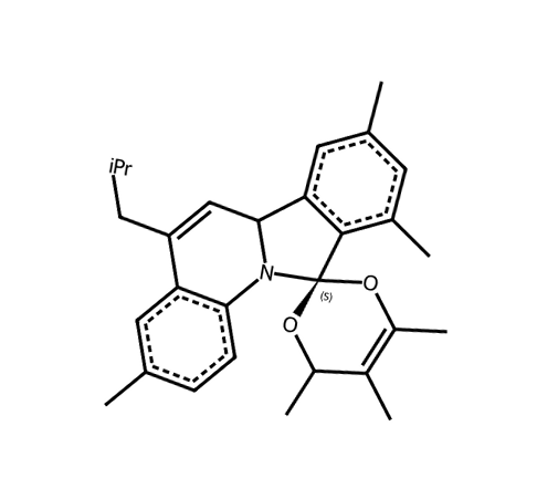 CC1=C(C)C(C)O[C@]2(O1)c1c(C)cc(C)cc1C1C=C(CC(C)C)c3cc(C)ccc3N12